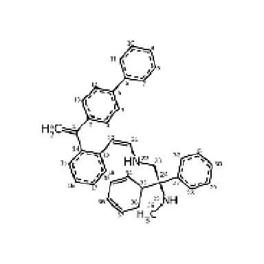 C=C(c1ccc(-c2ccccc2)cc1)c1ccccc1/C=C\NC[C@](NC)(c1ccccc1)C1C=CC=CC1